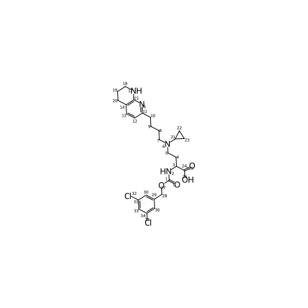 O=C(NC(CCN(CCCCc1ccc2c(n1)NCCC2)C1CC1)C(=O)O)OCc1cc(Cl)cc(Cl)c1